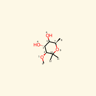 CO[C@H]1[C@H](O)C(O)[C@@H](C)OC1(C)C